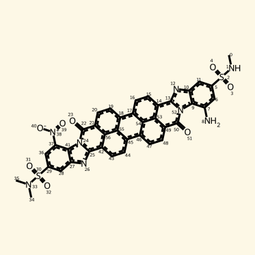 CNS(=O)(=O)c1cc(N)c2c(c1)nc1c3ccc4c5ccc6c(=O)n7c(nc8cc(S(=O)(=O)N(C)C)cc([N+](=O)[O-])c87)c7ccc(c8ccc(c(=O)n12)c3c48)c5c67